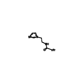 CCCC(=O)NCCn1ccnc1